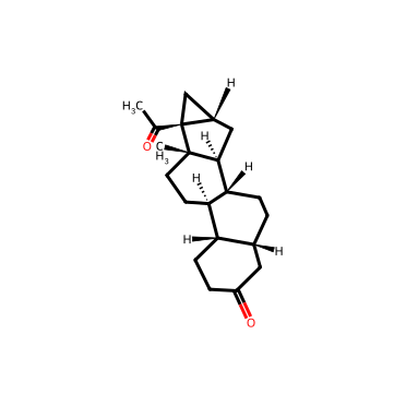 CC(=O)[C@@]12C[C@@H]1C[C@H]1[C@@H]3CC[C@@H]4CC(=O)CC[C@@H]4[C@H]3CC[C@@]12C